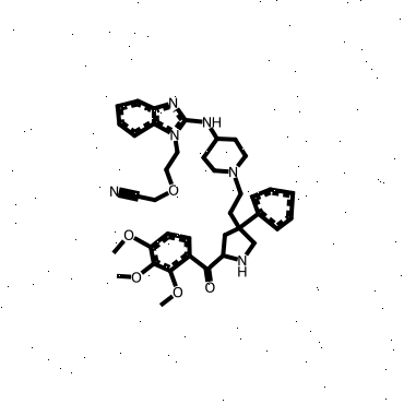 COc1ccc(C(=O)C2CC(CCN3CCC(Nc4nc5ccccc5n4CCOCC#N)CC3)(c3ccccc3)CN2)c(OC)c1OC